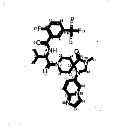 CC(C)C(NC(=O)c1cc(C(F)(F)F)ccc1F)C(=O)N1CCC2(CC1)C(=O)N(C)CN2c1ccc2nccn2c1